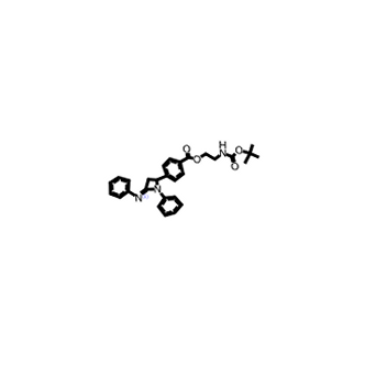 CC(C)(C)OC(=O)NCCOC(=O)c1ccc(C2C/C(=N\c3ccccc3)N2c2ccccc2)cc1